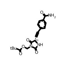 CC(C)(C)C(=O)OCN1C(=O)N[C@@H](C#Cc2ccc(C(N)=O)cc2)C1=O